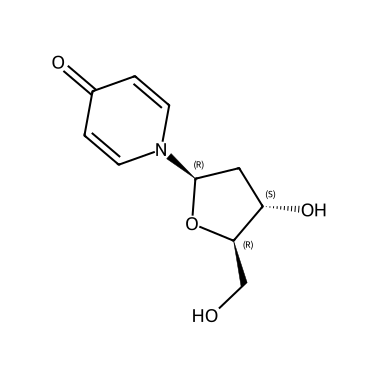 O=c1ccn([C@H]2C[C@H](O)[C@@H](CO)O2)cc1